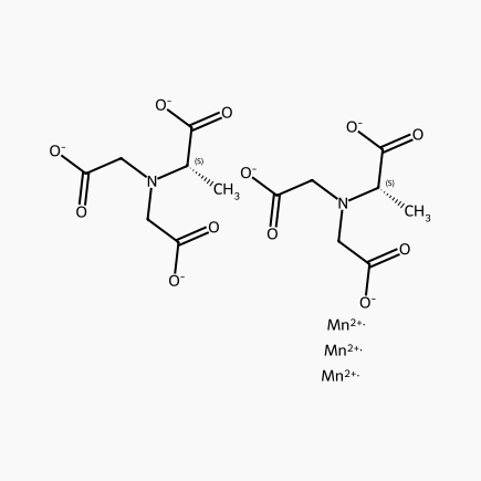 C[C@@H](C(=O)[O-])N(CC(=O)[O-])CC(=O)[O-].C[C@@H](C(=O)[O-])N(CC(=O)[O-])CC(=O)[O-].[Mn+2].[Mn+2].[Mn+2]